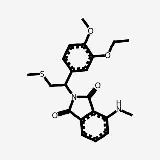 CCOc1cc(C(CSC)N2C(=O)c3cccc(NC)c3C2=O)ccc1OC